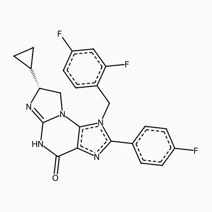 O=C1NC2=N[C@H](C3CC3)CN2c2c1nc(-c1ccc(F)cc1)n2Cc1ccc(F)cc1F